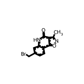 Cc1noc2c1c(=O)[nH]c1cc(CBr)ccc12